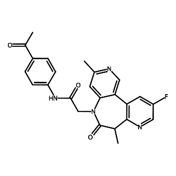 CC(=O)c1ccc(NC(=O)CN2C(=O)C(C)c3ncc(F)cc3-c3cnc(C)cc32)cc1